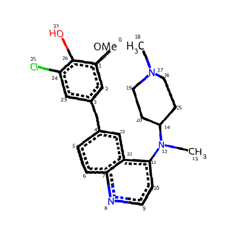 COc1cc(-c2ccc3nc[c]c(N(C)C4CCN(C)CC4)c3c2)cc(Cl)c1O